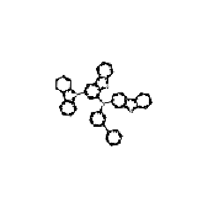 C1=Cc2c(c3ccccc3n2-c2cc(N(c3cccc(-c4ccccc4)c3)c3ccc4c(c3)oc3ccccc34)c3sc4ccccc4c3c2)CC1